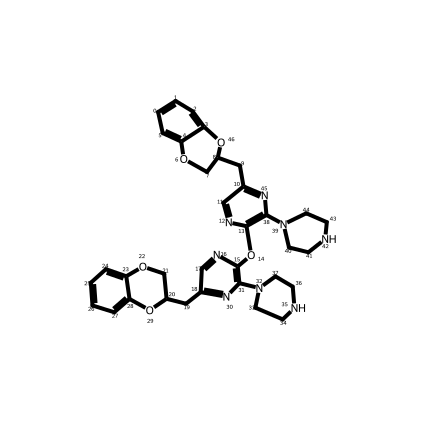 c1ccc2c(c1)OCC(Cc1cnc(Oc3ncc(CC4COc5ccccc5O4)nc3N3CCNCC3)c(N3CCNCC3)n1)O2